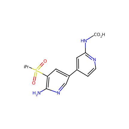 CC(C)S(=O)(=O)c1cc(-c2ccnc(NC(=O)O)c2)cnc1N